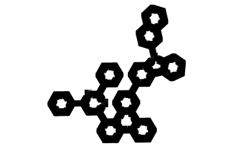 c1ccc(-c2cc(-c3cccc4c5ccccc5c5cc(-c6ccc7c(c6)c6ccccc6n7-c6ccc7ccccc7c6)ccc5c34)nc(-c3ccccc3)n2)cc1